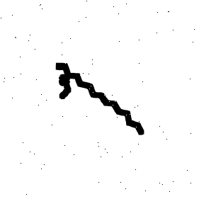 C=CC(CCCCCCCCCCCC)OCC